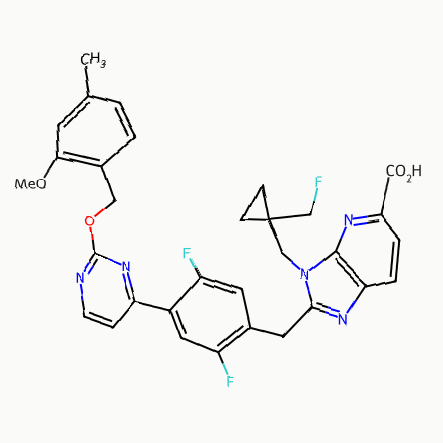 COc1cc(C)ccc1COc1nccc(-c2cc(F)c(Cc3nc4ccc(C(=O)O)nc4n3CC3(CF)CC3)cc2F)n1